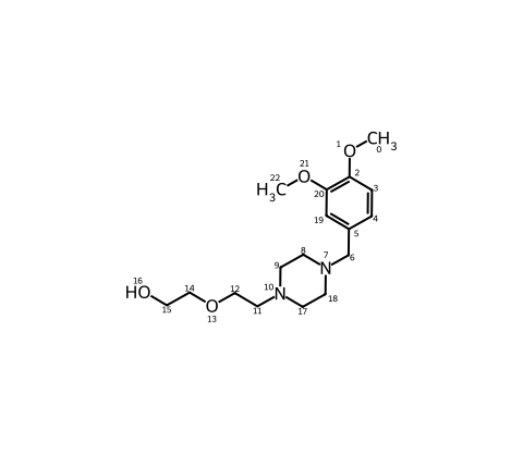 COc1ccc(CN2CCN(CCOCCO)CC2)cc1OC